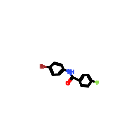 O=C(Nc1ccc(Br)cc1)c1ccc(F)cc1